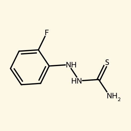 NC(=S)NNc1ccccc1F